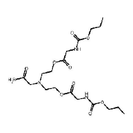 BC(=O)CN(CCOC(=O)CNC(=O)OCCC)CCOC(=O)CNC(=O)OCCC